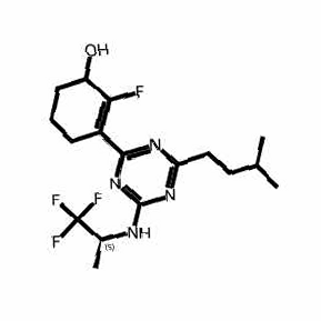 CC(C)CCc1nc(N[C@@H](C)C(F)(F)F)nc(C2=C(F)C(O)CCC2)n1